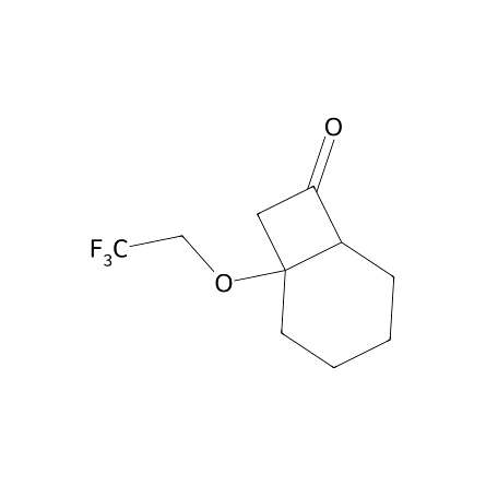 O=C1CC2(OCC(F)(F)F)CCCCC12